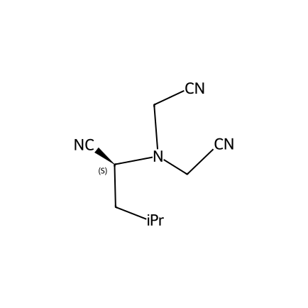 CC(C)C[C@@H](C#N)N(CC#N)CC#N